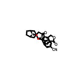 Cc1c(CCN2C3CCC2CC2(CC(=O)N(c4ccc(C#N)cn4)C2)C3)ccc2c1COC2=O